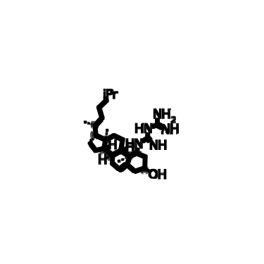 CC(C)CCC[C@@H](C)[C@H]1CC[C@H]2[C@@H]3CC=C4C[C@@H](O)CC(NC(=N)NC(=N)N)[C@]4(C)[C@H]3CC[C@]12C